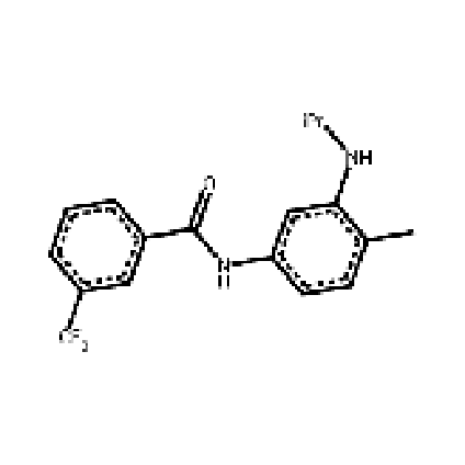 Cc1ccc(NC(=O)c2cccc(C(F)(F)F)c2)cc1NC(C)C